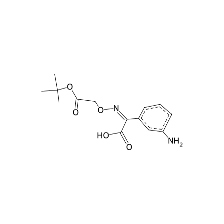 CC(C)(C)OC(=O)CO/N=C(\C(=O)O)c1cccc(N)c1